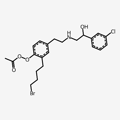 CC(=O)OOc1ccc(CCNCC(O)c2cccc(Cl)c2)cc1CCCCBr